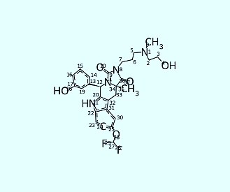 CN(CCO)CCCN1C(=O)N2[C@H](c3cccc(O)c3)c3[nH]c4ccc(OC(F)F)cc4c3C[C@@]2(C)C1=O